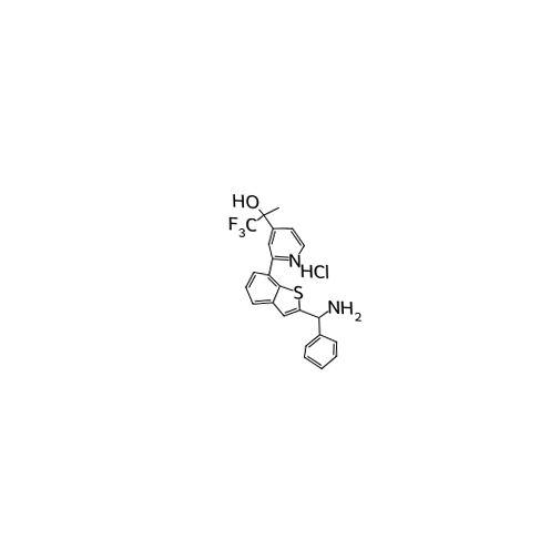 CC(O)(c1ccnc(-c2cccc3cc(C(N)c4ccccc4)sc23)c1)C(F)(F)F.Cl